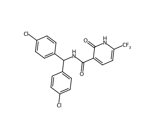 O=C(NC(c1ccc(Cl)cc1)c1ccc(Cl)cc1)c1ccc(C(F)(F)F)[nH]c1=O